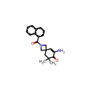 CC1(C)CC2(C=C(N)C1=O)CN(C(=O)c1cccc3ccccc13)C2